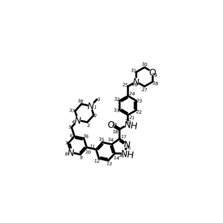 CN1CCN(Cc2cncc(-c3ccc4[nH]nc(C(=O)Nc5ccc(CN6CCOCC6)cc5)c4c3)c2)CC1